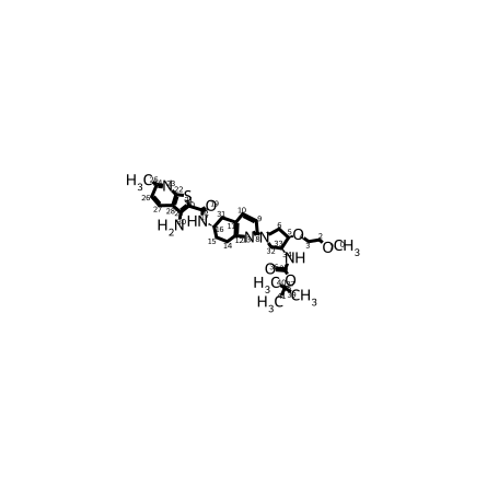 COCCO[C@@H]1CN(c2ccc3c(n2)CC[C@H](NC(=O)c2sc4nc(C)ccc4c2N)C3)C[C@H]1NC(=O)OC(C)(C)C